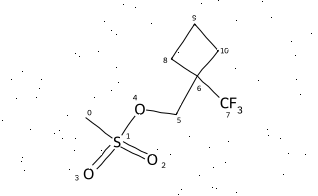 CS(=O)(=O)OCC1(C(F)(F)F)CCC1